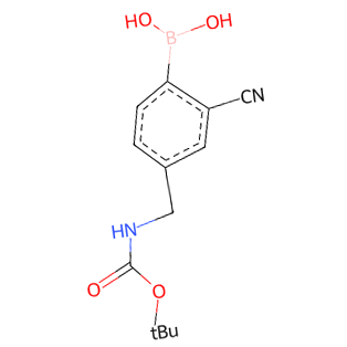 CC(C)(C)OC(=O)NCc1ccc(B(O)O)c(C#N)c1